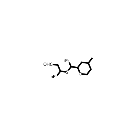 CCCC(CC=O)SC(C(C)C)C1CC(C)CCO1